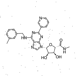 CNC(=O)[C@H]1O[C@@H](n2cnc3c(NCc4cccc(C)c4)nc(-c4cccnc4)nc32)[C@H](O)[C@@H]1O